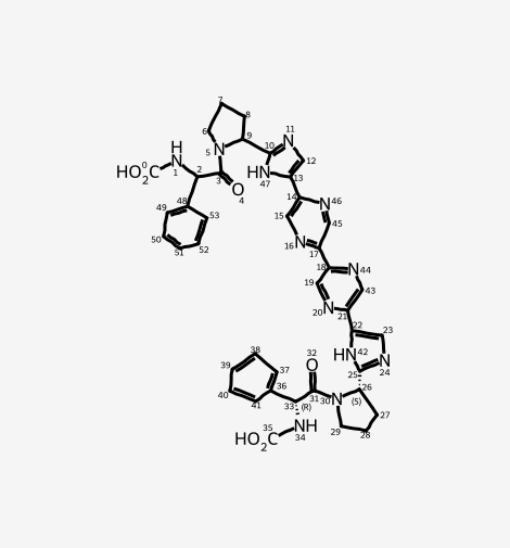 O=C(O)NC(C(=O)N1CCCC1c1ncc(-c2cnc(-c3cnc(-c4cnc([C@@H]5CCCN5C(=O)[C@H](NC(=O)O)c5ccccc5)[nH]4)cn3)cn2)[nH]1)c1ccccc1